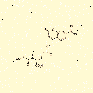 CCN(CC)c1ccc2c(COC(=O)CC[C@H](NC(=O)OC(C)(C)C)C(=O)O)cc(=O)oc2c1